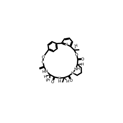 C=C1COc2ccc(cc2)-c2cccc(n2)[C@@H](C)OC(=O)[C@@H]2CCCN(N2)C(=O)[C@H](C)NC(=O)[C@H](C(C)C)N1